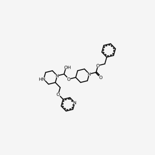 O=C(OCc1ccccc1)N1CCC(OC(O)N2CCNCC2COc2cccnc2)CC1